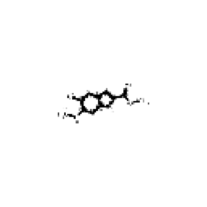 COC(=O)c1cc2cc(Br)c(OC)cc2s1